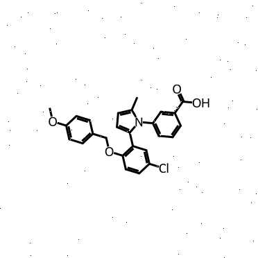 COc1ccc(COc2ccc(Cl)cc2-c2ccc(C)n2-c2cccc(C(=O)O)c2)cc1